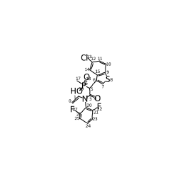 C=CN(C(=O)C(c1csc2ccc(Cl)cc12)P(C)(=O)O)c1c(F)cccc1F